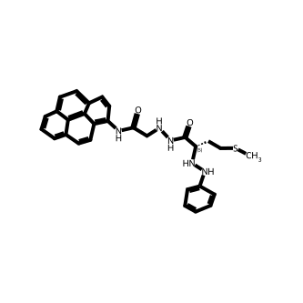 CSCC[C@H](NNc1ccccc1)C(=O)NNCC(=O)Nc1ccc2ccc3cccc4ccc1c2c34